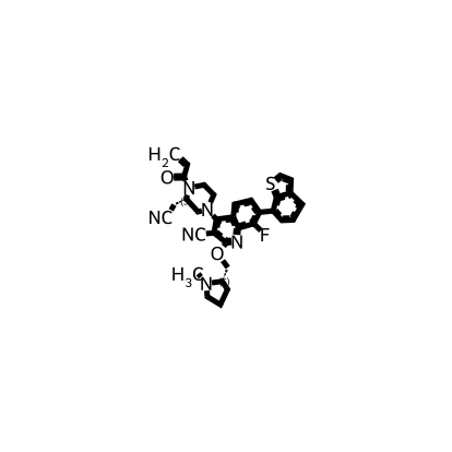 C=CC(=O)N1CCN(c2c(C#N)c(OC[C@@H]3CCCN3C)nc3c(F)c(-c4cccc5ccsc45)ccc23)C[C@@H]1CC#N